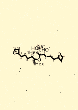 CCCCCCC(CCCCC1CCO1)OC(CCCCCC)CCCCC1CCO1.O=[C-]O.[Na+]